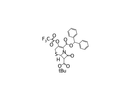 CC(C)(C)OC(=O)C1C(=O)N2C(C(=O)OC(c3ccccc3)c3ccccc3)=C(OS(=O)(=O)C(F)(F)F)CS[C@H]12